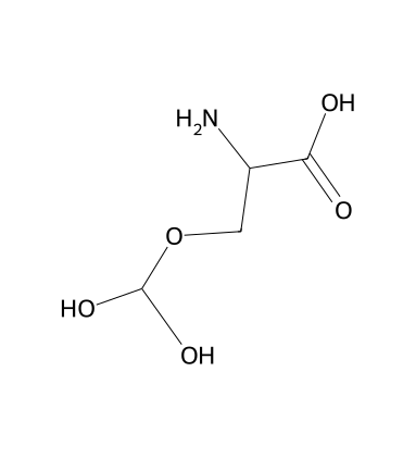 NC(COC(O)O)C(=O)O